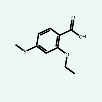 CCOc1cc(SC)ccc1C(=O)O